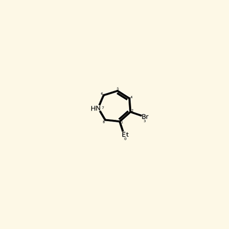 CCC1=C(Br)C=CCNC1